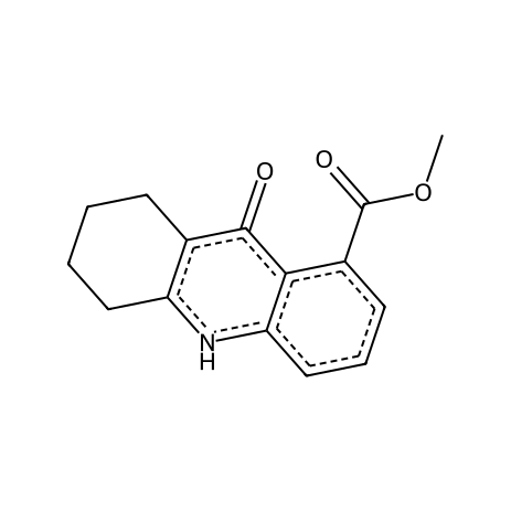 COC(=O)c1cccc2[nH]c3c(c(=O)c12)CCCC3